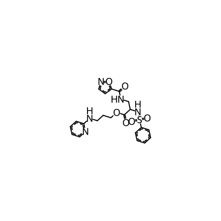 O=C(NCC(NS(=O)(=O)c1ccccc1)C(=O)OCCCNc1ccccn1)c1ccno1